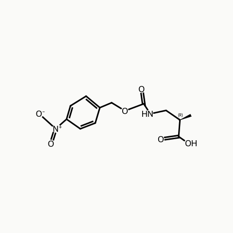 C[C@H](CNC(=O)OCc1ccc([N+](=O)[O-])cc1)C(=O)O